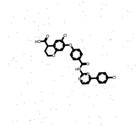 O=C(Nc1nccc(-c2ccc(Cl)cc2)n1)c1ccc(Oc2cc3c(cc2Cl)C(C(=O)O)CCO3)cc1